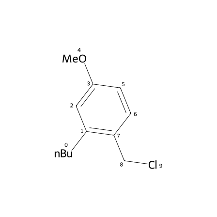 CCCCc1cc(OC)ccc1CCl